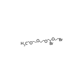 CCOCCOCCOCC(Br)OCCBr